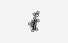 c1ccc2c(c1)-c1nc(-n3c4ccccc4c4ccccc43)nc3nc(-n4c5ccccc5c5cc(-c6cccc7c6oc6ccccc67)ccc54)nc-2c13